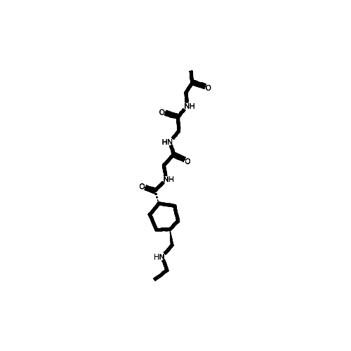 CCNC[C@H]1CC[C@H](C(=O)NCC(=O)NCC(=O)NCC(C)=O)CC1